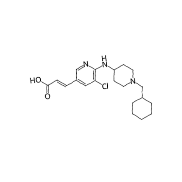 O=C(O)/C=C/c1cnc(NC2CCN(CC3CCCCC3)CC2)c(Cl)c1